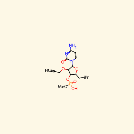 C#CCOC1C(OP(=O)(O)OC)C(CC(C)C)OC1n1ccc(N)nc1=O